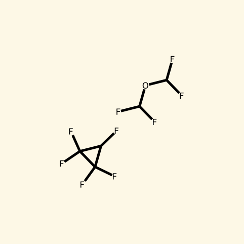 FC(F)OC(F)F.FC1C(F)(F)C1(F)F